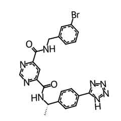 C[C@H](NC(=O)c1cc(C(=O)NCc2cccc(Br)c2)ncn1)c1ccc(-c2nnn[nH]2)cc1